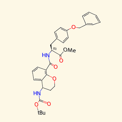 COC(=O)[C@H](Cc1ccc(OCc2ccccc2)cc1)NC(=O)c1cccc2c1OCCC2NC(=O)OC(C)(C)C